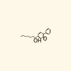 CCCCCCC(O)c1ccc(-c2ccccc2)c(OC)c1